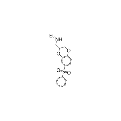 CCNCC1COc2ccc(S(=O)(=O)c3ccccc3)cc2O1